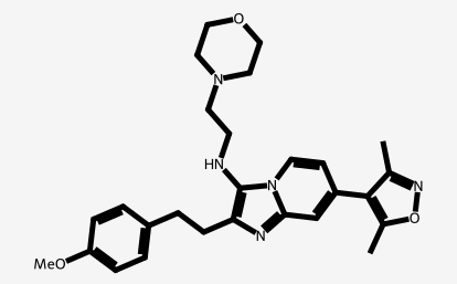 COc1ccc(CCc2nc3cc(-c4c(C)noc4C)ccn3c2NCCN2CCOCC2)cc1